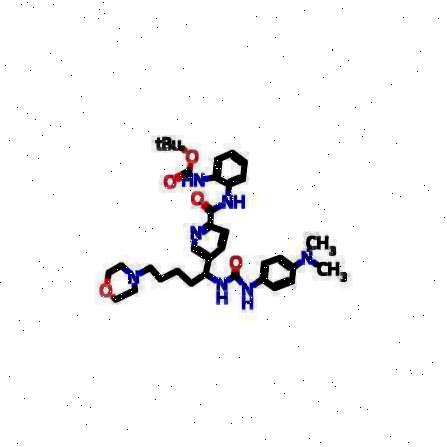 CN(C)c1ccc(NC(=O)NC(CCCCN2CCOCC2)c2ccc(C(=O)Nc3ccccc3NC(=O)OC(C)(C)C)nc2)cc1